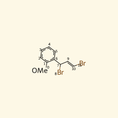 COc1ccccc1C(Br)C=CBr